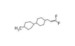 CC1CCC(C2CCC(CC=C(F)F)CC2)CC1